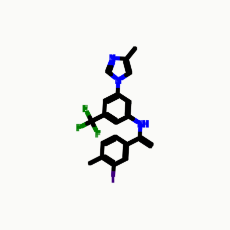 C=C(Nc1cc(-n2cnc(C)c2)cc(C(F)(F)F)c1)c1ccc(C)c(I)c1